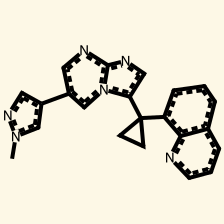 Cn1cc(-c2cnc3ncc(C4(c5cccc6cccnc56)CC4)n3c2)cn1